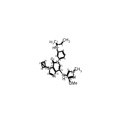 C=CC(=C)Nc1cccc(-n2cc(Nc3cn(C)nc3OC)c3ncn(C45CC(C4)C5)c3c2=O)c1